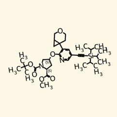 COC(=O)[C@@H]1C[C@H](Oc2ncc(C#C[Si](C(C)C)(C(C)C)C(C)C)cc2C23CCOCC2C3)CN1C(=O)OC(C)(C)C